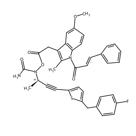 COc1ccc2c(c1)c(CC(=O)ON(C(N)=O)[C@H](C)C#Cc1ccc(Cc3ccc(F)cc3)s1)c(C)n2C(=O)/C=C/c1ccccc1